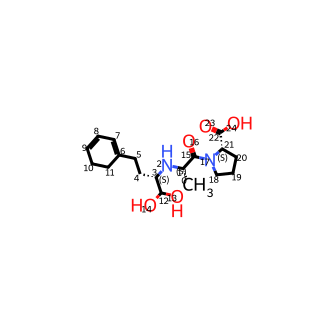 C[C@H](N[C@@H](CCC1=CC=CCC1)C(O)O)C(=O)N1CCC[C@H]1C(=O)O